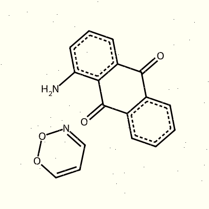 C1=COON=C1.Nc1cccc2c1C(=O)c1ccccc1C2=O